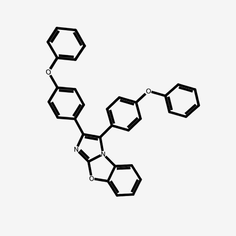 c1ccc(Oc2ccc(-c3nc4oc5ccccc5n4c3-c3ccc(Oc4ccccc4)cc3)cc2)cc1